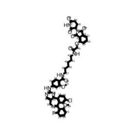 COc1cc(Nc2ncc3c(n2)-c2ccc(Cl)cc2C(c2c(F)cccc2OC)=NC3)ccc1C(=O)NCCCCCCNC(=O)COc1cccc2c1C(=O)N(C1CCC(=O)NC1=O)C2=O